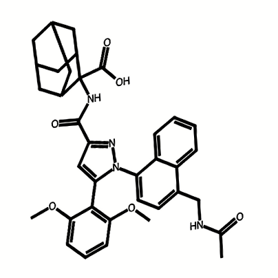 COc1cccc(OC)c1-c1cc(C(=O)NC2(C(=O)O)C3CC4CC(C3)CC2C4)nn1-c1ccc(CNC(C)=O)c2ccccc12